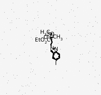 CCOC(=O)[C@](C)(CCn1cc2cc(I)ccc2n1)S(C)(=O)=O